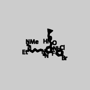 CCN(CCCCn1cnc2c(F)c(Nc3ccc(Br)cc3Cl)c(C(=O)NOCC3CC3)cc21)CCNC